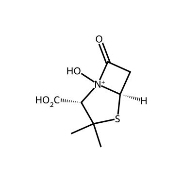 CC1(C)S[C@@H]2CC(=O)[N+]2(O)[C@H]1C(=O)O